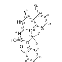 C[C@H](NC1=NS(=O)(=O)C(c2ccccc2)C(C)(C)O1)c1ccccc1F